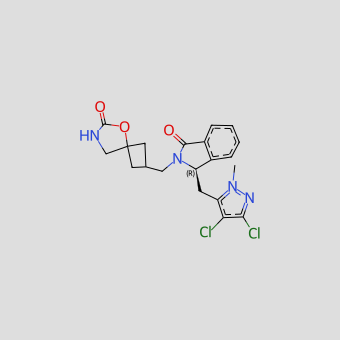 Cn1nc(Cl)c(Cl)c1C[C@@H]1c2ccccc2C(=O)N1CC1CC2(CNC(=O)O2)C1